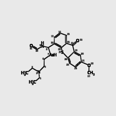 CCN(CC)CC[AsH]C(NC=O)c1cccc2c(=O)c3cc(OC)ccc3sc12